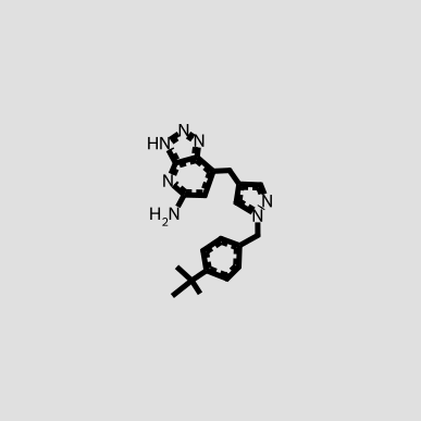 CC(C)(C)c1ccc(Cn2cc(Cc3cc(N)nc4[nH]nnc34)cn2)cc1